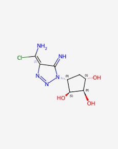 N=C1/C(=C(\N)Cl)N=NN1[C@@H]1C[C@H](O)[C@@H](O)[C@H]1O